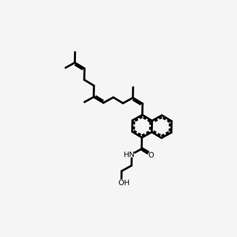 CC(C)=CCCC(C)=CCCC(C)=Cc1ccc(C(=O)NCCO)c2ccccc12